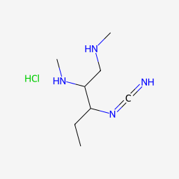 CCC(N=C=N)C(CNC)NC.Cl